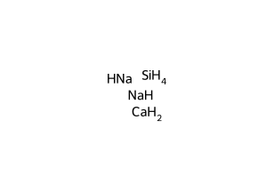 [CaH2].[NaH].[NaH].[SiH4]